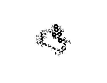 CCN(CC)c1ccc(NC(=O)c2cccc(C(=O)N(C)CCN3CCN(C(=O)N(C)CCOCCOCCOCCC(=O)N(C)C[C@H](O)[C@@H](O)[C@H](O)[C@H](O)CO)CC3)c2)c(-c2cc(C(=O)N[C@H]3CCCc4ccccc43)ccn2)c1